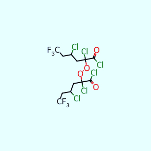 O=C(Cl)C(Cl)(CC(Cl)CC(F)(F)F)OOC(Cl)(CC(Cl)CC(F)(F)F)C(=O)Cl